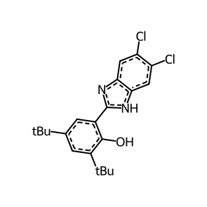 CC(C)(C)c1cc(-c2nc3cc(Cl)c(Cl)cc3[nH]2)c(O)c(C(C)(C)C)c1